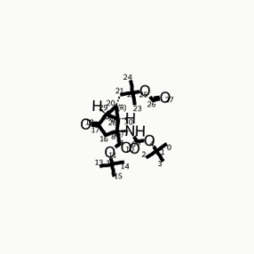 CC(C)(C)OC(=O)N[C@@]1(C(=O)OC(C)(C)C)CC(=O)[C@H]2[C@H](CC(C)(C)OC=O)[C@H]21